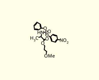 COCCCOC(=O)C(C)NP(=O)(Oc1ccccc1)Oc1ccc([N+](=O)[O-])cc1